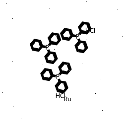 Cl.Cl.[Ru].c1ccc(P(c2ccccc2)c2ccccc2)cc1.c1ccc(P(c2ccccc2)c2ccccc2)cc1.c1ccc(P(c2ccccc2)c2ccccc2)cc1